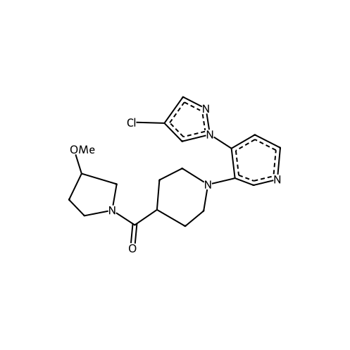 COC1CCN(C(=O)C2CCN(c3cnccc3-n3cc(Cl)cn3)CC2)C1